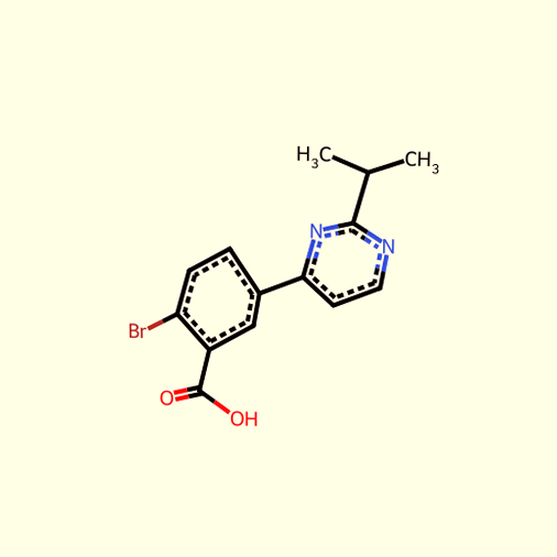 CC(C)c1nccc(-c2ccc(Br)c(C(=O)O)c2)n1